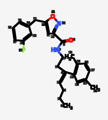 CCC/C=C(/CCNC(=O)c1cc(Cc2cccc(F)c2)on1)c1cc(C)ccc1C